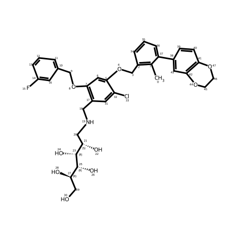 Cc1c(COc2cc(OCc3cccc(F)c3)c(CNC[C@H](O)[C@@H](O)[C@H](O)[C@H](O)CO)cc2Cl)cccc1-c1ccc2c(c1)OCCO2